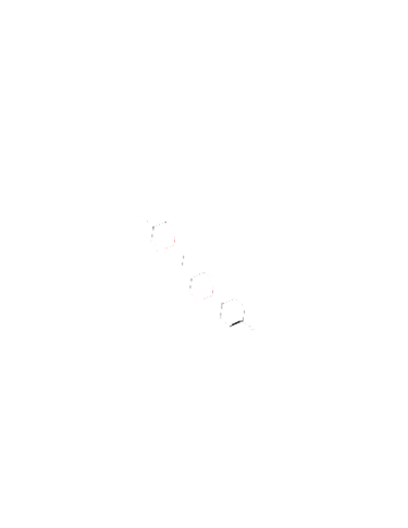 CCC[C@H]1CO[C@H](CC[C@H]2CO[C@H](C3CC=C(F)CC3)OC2)OC1